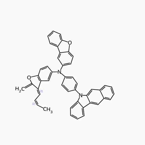 C=c1oc2ccc(N(c3ccc(-n4c5ccccc5c5cc6ccccc6cc54)cc3)c3ccc4oc5ccccc5c4c3)cc2/c1=C/C=C\C